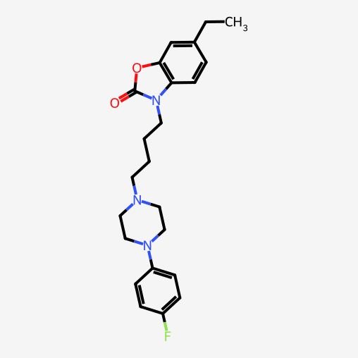 CCc1ccc2c(c1)oc(=O)n2CCCCN1CCN(c2ccc(F)cc2)CC1